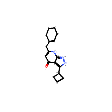 O=c1cc(CC2CCCCC2)[nH]c2n[nH]c(C3CCC3)c12